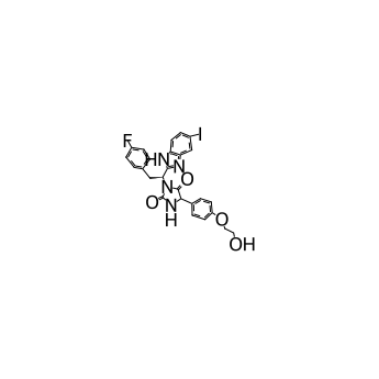 O=C1NC(c2ccc(OCCO)cc2)C(=O)N1[C@@H](Cc1ccc(F)cc1)c1nc2cc(I)ccc2[nH]1